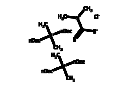 CCCCCCCCCC[N+](C)(C)CCCCCCCCCC.CCCCCCCCCC[N+](C)(C)CCCCCCCCCC.CN(C)C(=S)[S-].[Cl-]